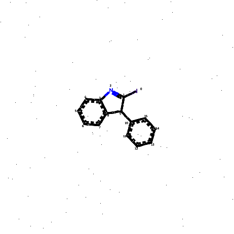 IC1=Nc2ccccc2C1c1ccccc1